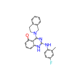 Cc1cc(F)ccc1Nc1nc(N2CCc3ccccc3C2)c2c(=O)cccc-2[nH]1